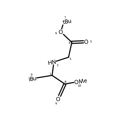 CCC(C)C(NCC(=O)OC(C)(C)C)C(=O)OC